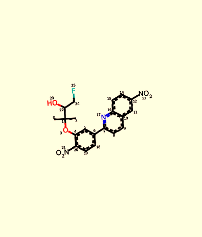 CC(C)(Oc1cc(-c2ccc3cc([N+](=O)[O-])ccc3n2)ccc1[N+](=O)[O-])C(O)CF